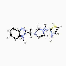 C[C@H]1N(C(C)(C)c2nc3ccccc3n2C)C=C[N+]1(C)c1scc[n+]1C